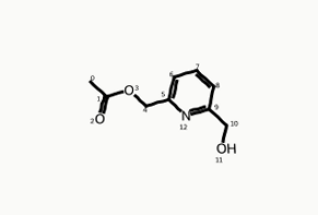 CC(=O)OCc1cccc(CO)n1